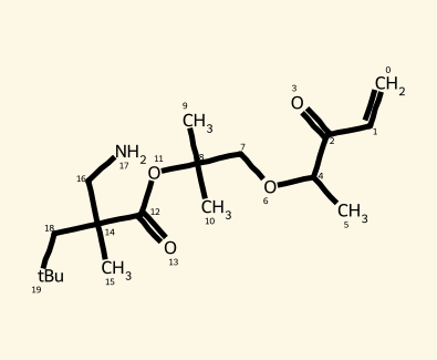 C=CC(=O)C(C)OCC(C)(C)OC(=O)C(C)(CN)CC(C)(C)C